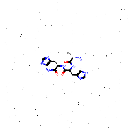 CC[C@H](C)[C@H](N)C(=O)N[C@@H](Cc1c[nH]cn1)C(=O)N[C@@H](Cc1c[nH]cn1)C(N)=O